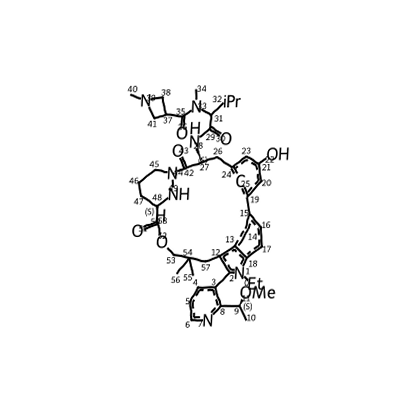 CCn1c(-c2cccnc2[C@H](C)OC)c2c3cc(ccc31)-c1cc(O)cc(c1)C[C@H](NC(=O)C(C(C)C)N(C)C(=O)C1CN(C)C1)C(=O)N1CCC[C@H](N1)C(=O)OCC(C)(C)C2